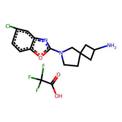 NC1CC2(CCN(c3nc4cc(Cl)ccc4o3)C2)C1.O=C(O)C(F)(F)F